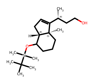 C[C@H](CCO)C1=CC[C@H]2C(O[Si](C)(C)C(C)(C)C)CCC[C@]12C